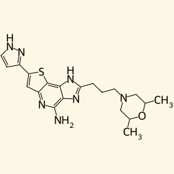 CC1CN(CCCc2nc3c(N)nc4cc(-c5cc[nH]n5)sc4c3[nH]2)CC(C)O1